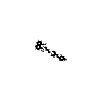 O=C1c2cccc3cccc(c23)C(=O)N1CCCCN1CC=C(CCc2ccc(F)cc2)CC1